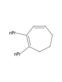 CCCC1=C(CCC)CCCC=C1